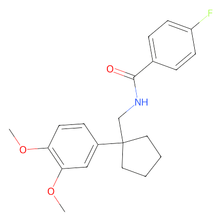 COc1ccc(C2(CNC(=O)c3ccc(F)cc3)CCCC2)cc1OC